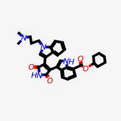 CN(C)CCCn1cc(C2=C(c3c[nH]c4c(C(=O)OC5CCCCC5)cccc34)C(=O)NC2=O)c2ccccc21